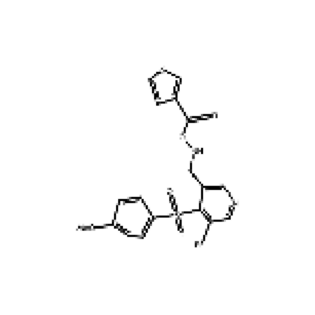 COc1ccc(S(=O)(=O)c2c(Br)cncc2CNOC(=O)c2ccsc2)cc1